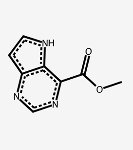 COC(=O)c1ncnc2cc[nH]c12